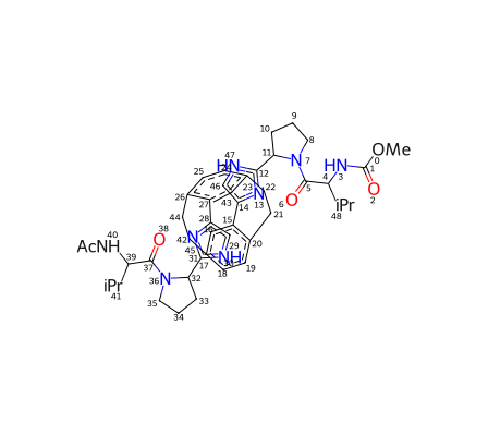 COC(=O)NC(C(=O)N1CCCC1c1nc(-c2cc3ccc2CCc2ccc(c(-c4c[nH]c(C5CCCN5C(=O)C(NC(C)=O)C(C)C)n4)c2)CC3)c[nH]1)C(C)C